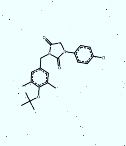 Cc1cc(CN2C(=O)CN(c3ccc(Cl)cc3)C2=O)cc(C)c1OC(C)(C)C